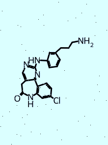 NCCCc1cccc(Nc2ncc3c(n2)-c2ccc(Cl)cc2NC(=O)C3)c1